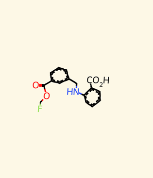 O=C(OCF)c1cccc(CNc2ccccc2C(=O)O)c1